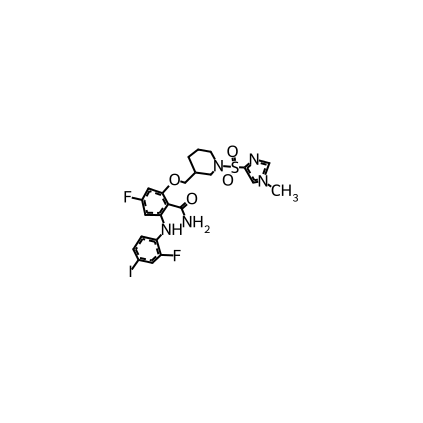 Cn1cnc(S(=O)(=O)N2CCCC(COc3cc(F)cc(Nc4ccc(I)cc4F)c3C(N)=O)C2)c1